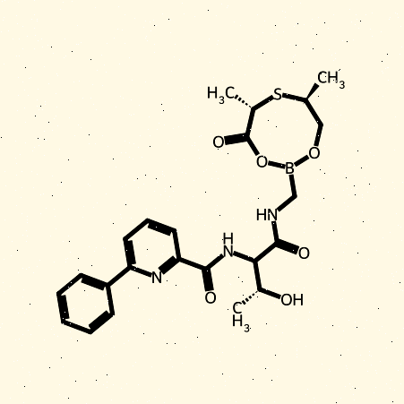 C[C@@H]1S[C@@H](C)COB(CNC(=O)C(NC(=O)c2cccc(-c3ccccc3)n2)[C@@H](C)O)OC1=O